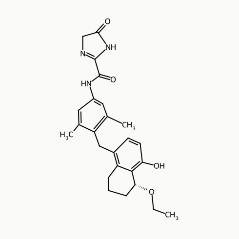 CCO[C@@H]1CCCc2c(Cc3c(C)cc(NC(=O)C4=NCC(=O)N4)cc3C)ccc(O)c21